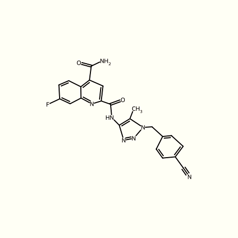 Cc1c(NC(=O)c2cc(C(N)=O)c3ccc(F)cc3n2)nnn1Cc1ccc(C#N)cc1